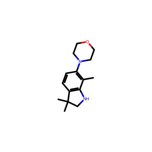 Cc1c(N2CCOCC2)ccc2c1NCC2(C)C